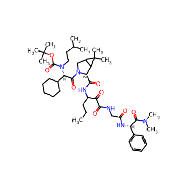 CCCC(NC(=O)[C@@H]1C2C(CN1C(=O)[C@H](C1CCCCC1)N(CCC(C)C)C(=O)OC(C)(C)C)C2(C)C)C(=O)C(=O)NCC(=O)N[C@H](C(=O)N(C)C)c1ccccc1